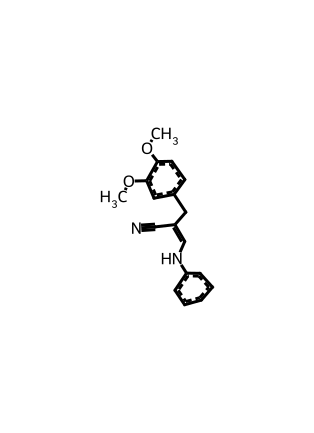 COc1ccc(CC(C#N)=CNc2ccccc2)cc1OC